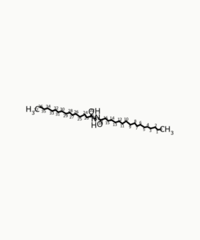 CCCCCCCCCCCCCCCCCC(=O)NNC(=O)CCCCCCCCCCCCCCC